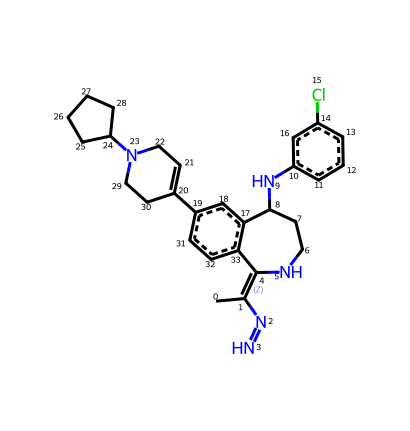 C/C(N=N)=C1/NCCC(Nc2cccc(Cl)c2)c2cc(C3=CCN(C4CCCC4)CC3)ccc21